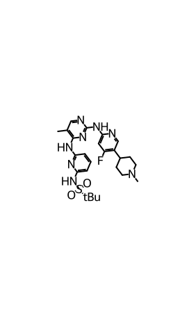 Cc1cnc(Nc2cc(F)c(C3CCN(C)CC3)cn2)nc1Nc1cccc(NS(=O)(=O)C(C)(C)C)n1